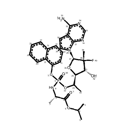 CC(C)OC(=O)[C@H](C)NP(=O)(Oc1cccc2ccccc12)OC(C)[C@H]1O[C@@H](n2ccc3c(N)ncnc32)[C@](C)(F)[C@@H]1O